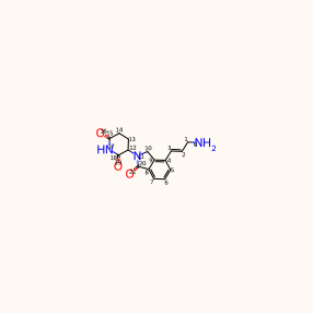 NC/C=C/c1cccc2c1CN(C1CCC(=O)NC1=O)C2=O